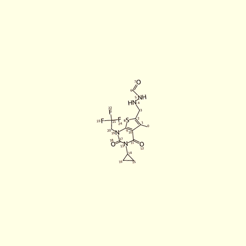 Cc1c(CNNC=O)sc2c1c(=O)n(C1CC1)c(=O)n2CC(F)(F)F